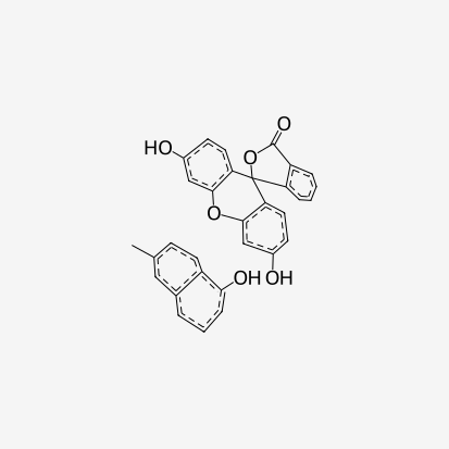 Cc1ccc2c(O)cccc2c1.O=C1OC2(c3ccc(O)cc3Oc3cc(O)ccc32)c2ccccc21